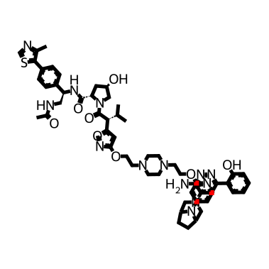 CC(=O)NC[C@H](NC(=O)[C@@H]1C[C@@H](O)CN1C(=O)[C@@H](c1cc(OCCN2CCN(CCOc3cc(N4C5CCC4CN(c4cc(-c6ccccc6O)nnc4N)C5)ccn3)CC2)no1)C(C)C)c1ccc(-c2scnc2C)cc1